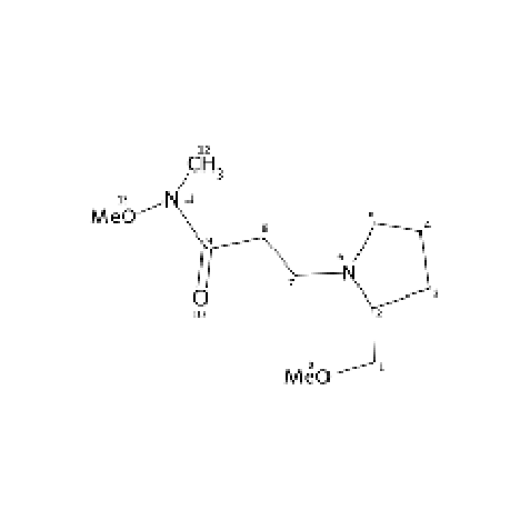 COCC1CCCN1CCC(=O)N(C)OC